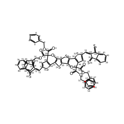 O=C(OCc1ccccc1)C1(C(=O)OCc2ccccc2)Oc2c(sc3c4c(sc23)-c2sc(C=C3C(=S)c5ccccc5C3=S)cc2C(C(=O)OCc2ccccc2)(C(=O)OCc2ccccc2)O4)-c2sc(C=C3C(=S)c4ccccc4C3=S)cc21